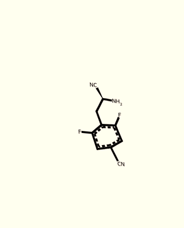 N#Cc1cc(F)c(C[C@H](N)C#N)c(F)c1